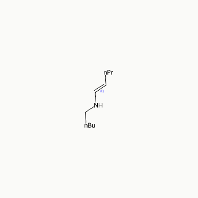 CCC/C=C/NCCCCC